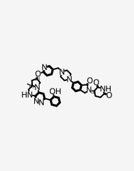 C[C@]12CNc3nnc(-c4ccccc4O)cc3N1C[C@H](Oc1ccc(CN3CCN(c4ccc5c(c4)C(=O)N([C@H]4CCC(=O)NC4=O)C5)CC3)cn1)C2